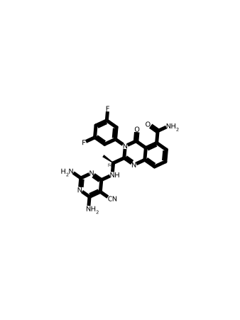 C[C@H](Nc1nc(N)nc(N)c1C#N)c1nc2cccc(C(N)=O)c2c(=O)n1-c1cc(F)cc(F)c1